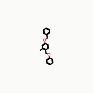 Cc1cc(OCc2ccccc2)ccc1COc1ccccc1